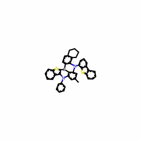 Cc1cc2c3c(c1)N(c1cccc4c1sc1ccccc14)c1c(ccc4c1CCCC4)B3c1sc3ccccc3c1N2c1ccccc1